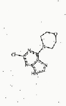 Clc1nc(N2CCOCC2)c2n[c][nH]c2n1